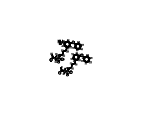 CC(=O)[N+](C)(C)P(=O)([O-])OCCCc1cccc(Oc2ccccc2)c1.CC(=O)[N+](C)(C)P(=O)([O-])OCCCc1cccc(Oc2ccccc2)c1.[KH].[KH]